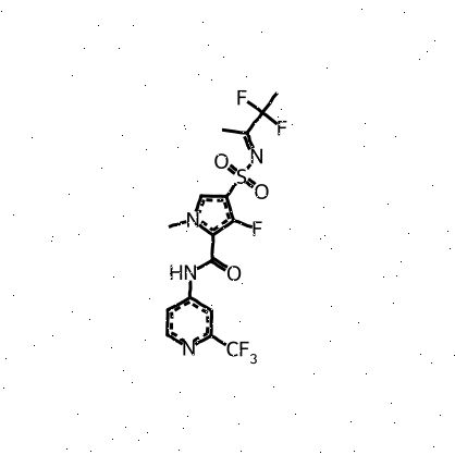 C/C(=N\S(=O)(=O)c1cn(C)c(C(=O)Nc2ccnc(C(F)(F)F)c2)c1F)C(C)(F)F